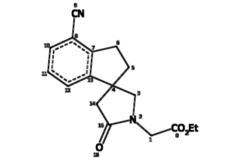 CCOC(=O)CN1CC2(CCc3c(C#N)cccc32)CC1=O